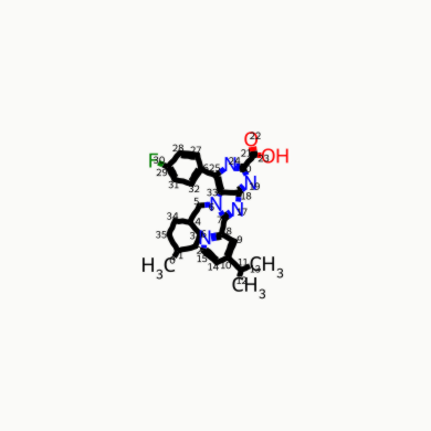 CC1CCC(Cn2c(-c3cc(C(C)C)ccn3)nc3nc(C(=O)O)nc(-c4ccc(F)cc4)c32)CC1